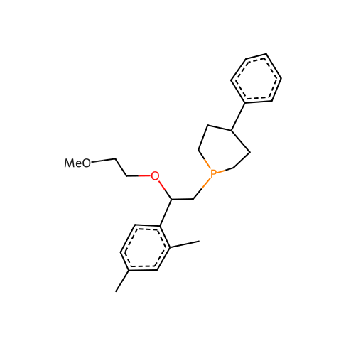 COCCOC(CP1CCC(c2ccccc2)CC1)c1ccc(C)cc1C